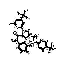 Cc1cc(C(F)(F)F)cc(N2C[C@@H](C(=O)Nc3ccc(C(F)(F)F)cn3)C[C@H]2C(=O)N(C)c2ccc(F)c(Cl)c2)n1